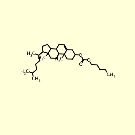 CCCCCOC(=O)OC1CCC2(C)C(=CCC3C2CCC2(C)C(C(C)CCCC(C)C)CCC32)C1